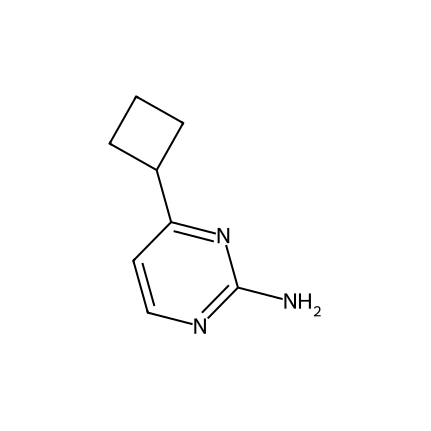 Nc1nccc(C2CCC2)n1